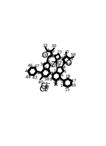 Cc1cc(C2=Cc3c(ccc(C)c3-c3ccccc3)[CH]2[Zr+2](=[C]2CCC2)[CH]2C(c3cc(C)c(C)o3)=Cc3c2ccc(C)c3-c2ccccc2)oc1C.[Cl-].[Cl-]